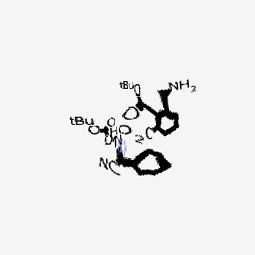 CC(C)(C)OC(=O)O/N=C(\C#N)c1ccccc1.CC(C)(C)OC(=O)c1c(CN)cccc1C(=O)O